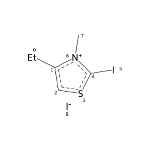 CCc1csc(I)[n+]1C.[I-]